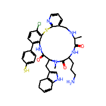 CC1NCc2cccnc2Sc2c(Cl)ccc(-c3ccc(S)cc3)c2NC(=O)C(Cc2c[nH]c3c2CCC=C3)N(C)C(=O)C(CCCN)NC1=O